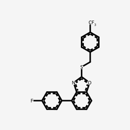 Fc1ccc(-c2cccc3oc(SCc4ccc(C(F)(F)F)cc4)nc23)cc1